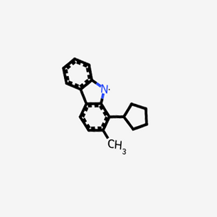 Cc1ccc2c(c1C1CCCC1)[N]c1ccccc1-2